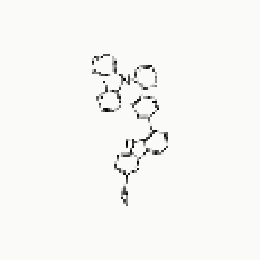 N#Cc1ccc2oc3c(-c4cccc(-c5cccc6c7ccccc7n(-c7ccccc7)c56)c4)cccc3c2c1